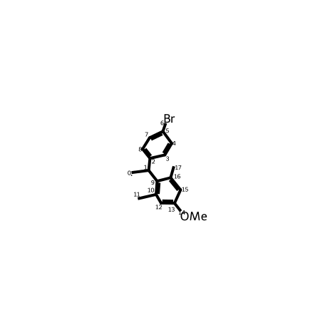 [CH2]C(c1ccc(Br)cc1)c1c(C)cc(OC)cc1C